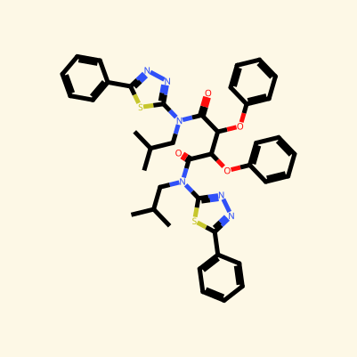 CC(C)CN(C(=O)C(Oc1ccccc1)C(Oc1ccccc1)C(=O)N(CC(C)C)c1nnc(-c2ccccc2)s1)c1nnc(-c2ccccc2)s1